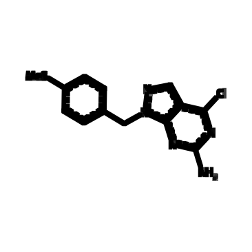 CSc1ccc(Cn2ncc3c(Cl)nc(N)nc32)cc1